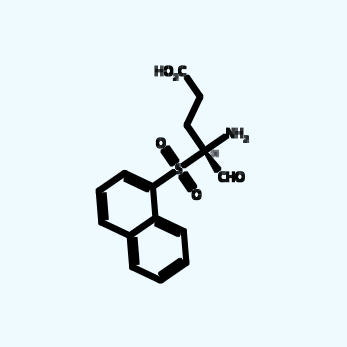 N[C@@](C=O)(CCC(=O)O)S(=O)(=O)c1cccc2ccccc12